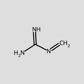 C=NC(=N)N